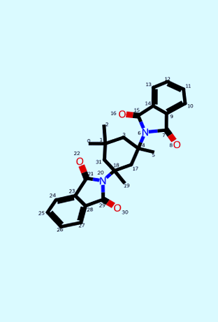 CC1(C)CC(C)(N2C(=O)c3ccccc3C2=O)CC(C)(N2C(=O)c3ccccc3C2=O)C1